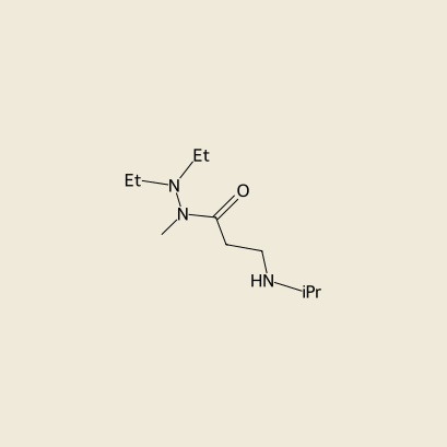 CCN(CC)N(C)C(=O)CCNC(C)C